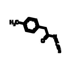 Cc1ccc(CC(=O)N=C=S)cc1